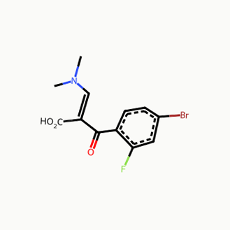 CN(C)C=C(C(=O)O)C(=O)c1ccc(Br)cc1F